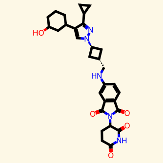 O=C1CCC(N2C(=O)c3ccc(NC[C@H]4C[C@H](n5cc(C6CCCC(O)C6)c(C6CC6)n5)C4)cc3C2=O)C(=O)N1